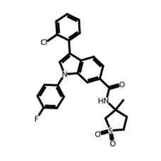 CC1(NC(=O)c2ccc3c(-c4ccccc4Cl)cn(-c4ccc(F)cc4)c3c2)CCS(=O)(=O)C1